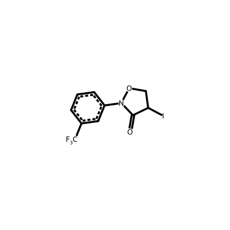 O=C1C(I)CON1c1cccc(C(F)(F)F)c1